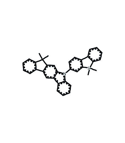 CC1(C)c2ccccc2-c2cc3c4ccccc4n(-c4ccc5c(c4)[Si](C)(C)c4ccccc4-5)c3cc21